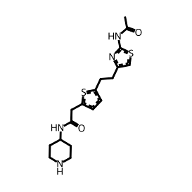 CC(=O)Nc1nc(CCc2ccc(CC(=O)NC3CCNCC3)s2)cs1